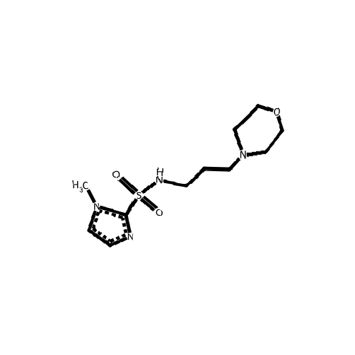 Cn1ccnc1S(=O)(=O)NCCCN1CCOCC1